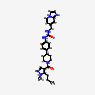 CCCc1c(C(=O)N2CCC(c3ccc(NC(=O)NCc4ccn5ccnc5c4)cc3)CC2)cnn1C